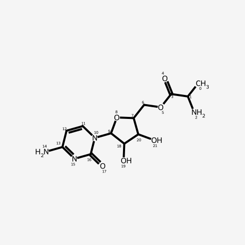 CC(N)C(=O)OCC1OC(n2ccc(N)nc2=O)C(O)C1O